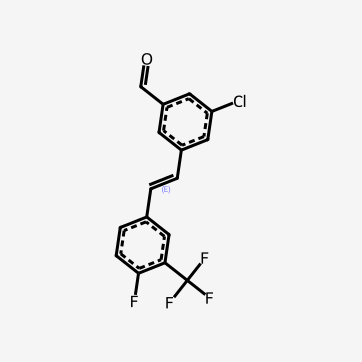 O=Cc1cc(Cl)cc(/C=C/c2ccc(F)c(C(F)(F)F)c2)c1